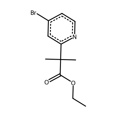 CCOC(=O)C(C)(C)c1cc(Br)ccn1